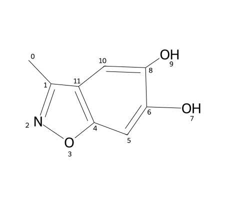 Cc1noc2cc(O)c(O)cc12